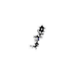 N=C/C(=C\Nc1csc(C(N)=O)c1)NC(=O)Nc1ccccc1Cl